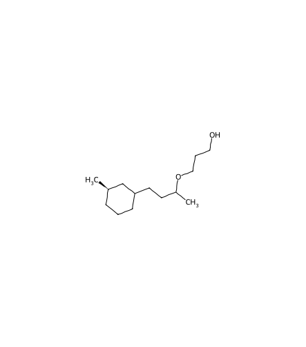 CC(CCC1CCC[C@@H](C)C1)OCCCO